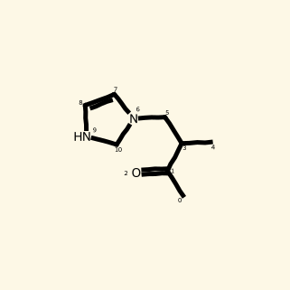 CC(=O)C(C)CN1C=CNC1